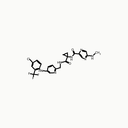 CNc1cnc(C(=O)NC2(C(=O)NCc3ccc(Nc4ccc(Cl)cc4C(F)(F)F)cn3)CC2)cn1